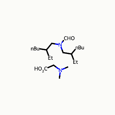 CCCCC(CC)CN(C=O)CC(CC)CCCC.CN(C)CC(=O)O